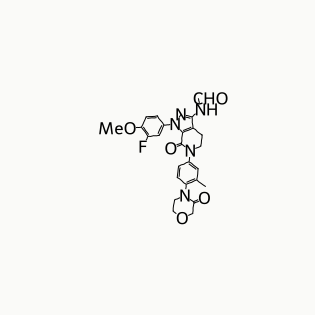 COc1ccc(-n2nc(NC=O)c3c2C(=O)N(c2ccc(N4CCOCC4=O)c(C)c2)CC3)cc1F